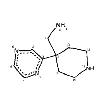 NCC1(c2cnccn2)CCNCC1